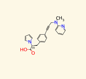 CN(CC#Cc1ccc(C[C@@H](C(=O)O)n2cccc2)cc1)c1ccccn1